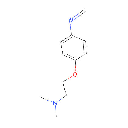 C=Nc1ccc(OCCN(C)C)cc1